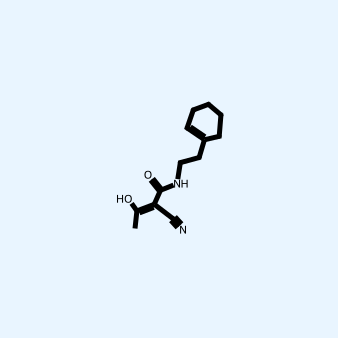 C/C(O)=C(\C#N)C(=O)NCCC1=CCCCC1